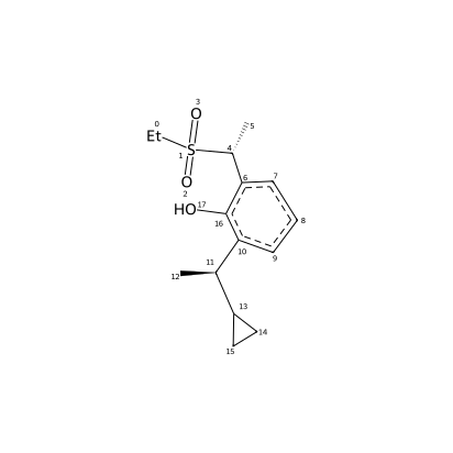 CCS(=O)(=O)[C@H](C)c1cccc([C@H](C)C2CC2)c1O